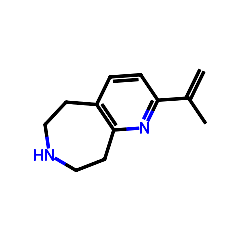 C=C(C)c1ccc2c(n1)CCNCC2